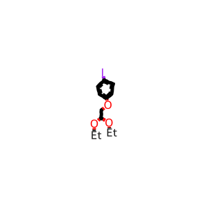 CCOC(COc1ccc(I)cc1)OCC